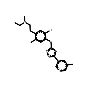 CCN(C)CCc1cc(Cl)c(Oc2nc(-c3cncc(F)c3)ns2)cc1C